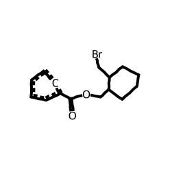 O=C(OCC1CCCCC1CBr)c1ccccc1